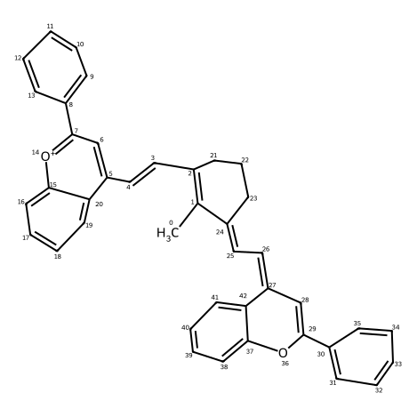 CC1=C(/C=C/c2cc(-c3ccccc3)[o+]c3ccccc23)CCC/C1=C\C=C1\C=C(c2ccccc2)Oc2ccccc21